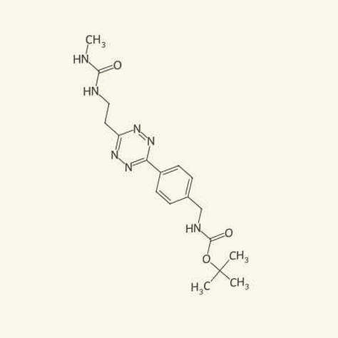 CNC(=O)NCCc1nnc(-c2ccc(CNC(=O)OC(C)(C)C)cc2)nn1